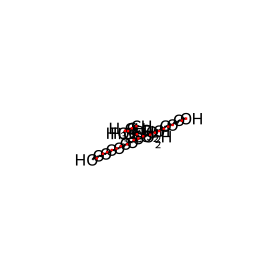 C=C(C)C(=O)O.C=C(C)C(=O)O.CC(O)CO.OCCOCCOCCOCCOCCOCCOCCOCCOCCOCCOCCOCCOCCOCCO